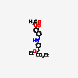 CCOC(=O)C(Cc1ccc(NCc2ccc3cc(OS(C)(=O)=O)ccc3c2)cc1)OCC